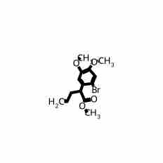 C=CCC(C(=O)OC)c1cc(OC)c(OC)cc1Br